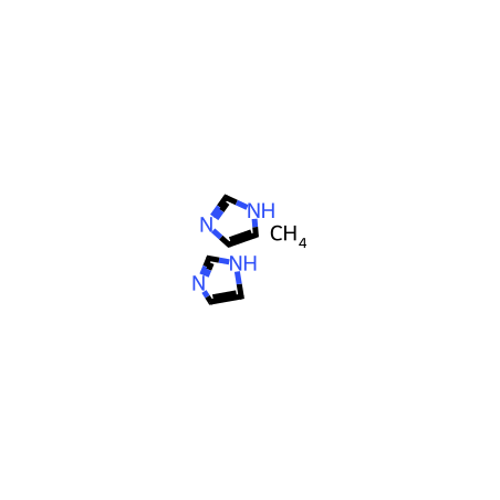 C.c1c[nH]cn1.c1c[nH]cn1